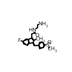 CC1=C(CC(=O)NCCN)c2cc(F)ccc2C1=Cc1ccc([S+](C)[O-])cc1